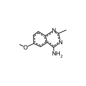 COc1ccc2nc(C)nc(N)c2c1